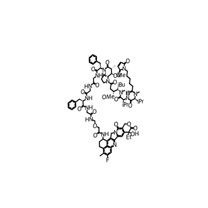 CC[C@H](C)[C@@H]([C@@H](CC(=O)N1CCC[C@H]1[C@H](OC)[C@@H](C)C(=O)N[C@H](Cc1ccccc1)C(=O)NCC(=O)NCC(=O)N[C@H](Cc1ccccc1)C(=O)NCC(=O)NCOCC(=O)NC1CCc2c(C)c(F)cc3nc4c(c1c23)Cn1c-4cc2c(c1=O)COC(=O)[C@@]2(O)CC)OC)N(C)C(=O)[C@@H](NC(=O)[C@H](C(C)C)N(C)C(=O)CCCCCN1C(=O)C=CC1=O)C(C)C